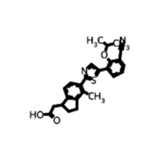 Cc1c(-c2ncc(-c3cccc(C#N)c3OC(C)C)s2)ccc2c1CCC2CC(=O)O